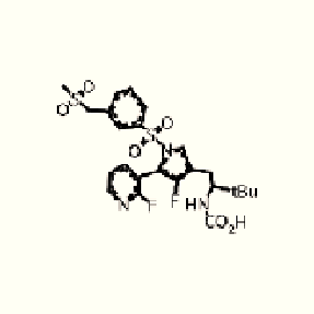 CC(C)(C)C(Cc1cn(S(=O)(=O)c2cccc(CS(C)(=O)=O)c2)c(-c2cccnc2F)c1F)NC(=O)O